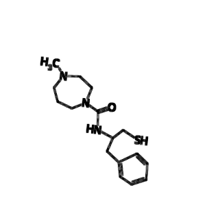 CN1CCCN(C(=O)NC(CS)Cc2ccccc2)CC1